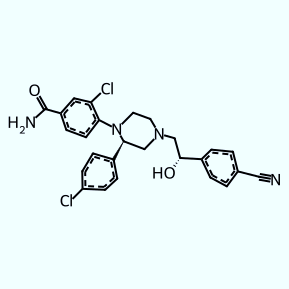 N#Cc1ccc([C@H](O)CN2CCN(c3ccc(C(N)=O)cc3Cl)[C@H](c3ccc(Cl)cc3)C2)cc1